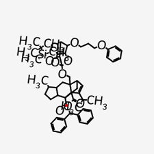 CC(C)C1=CC2CC3(C=O)C4CCC(C)C4CC2(COC24OC5OC(C(OCCCOc6ccccc6)C5O2)C4O[Si](C)(C)C(C)(C)C)C13C(=O)OC(c1ccccc1)c1ccccc1